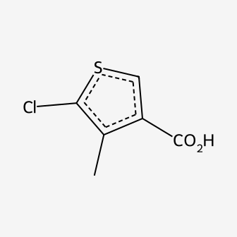 Cc1c(C(=O)O)csc1Cl